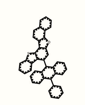 c1ccc(-c2c3ccccc3c(-c3cc4oc5c6ccccc6ccc5c4c4sc5ccccc5c34)c3ccccc23)cc1